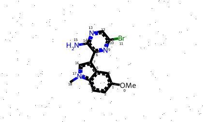 COc1ccc2c(c1)c(-c1nc(Br)cnc1N)cn2C